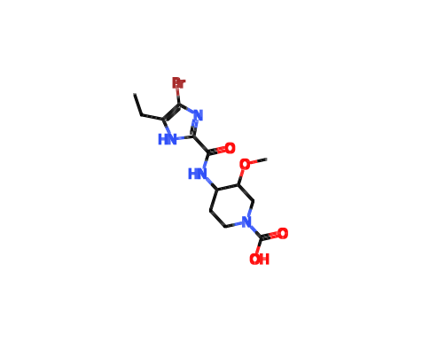 CCc1[nH]c(C(=O)NC2CCN(C(=O)O)CC2OC)nc1Br